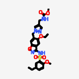 CCOc1cc2c(NS(=O)(=O)c3cc(CC)ccc3OC)noc2cc1Cn1cc(CNC(=O)OC)cn1